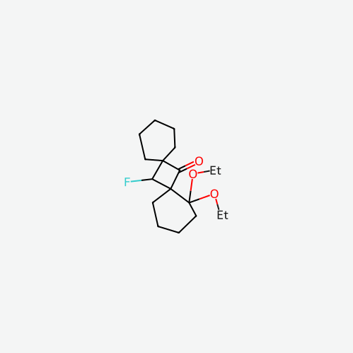 CCOC1(OCC)CCCCC12C(=O)C1(CCCCC1)C2F